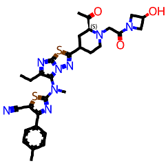 CCc1nc2sc(C3CCN(CC(=O)N4CC(O)C4)[C@H](C(C)=O)C3)nn2c1N(C)c1nc(-c2ccc(C)cc2)c(C#N)s1